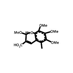 COc1c(C)c(/C=C(/C(=O)O)C(C)OC)c(OC)c(OC)c1OC